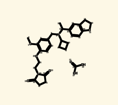 COc1cc(CN(C2CCC2)C(C)c2ccc3c(c2)CCO3)ccc1OCCN1C(=O)CCC1=O.O=C(O)O